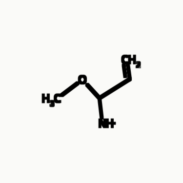 C=CC([NH])OC